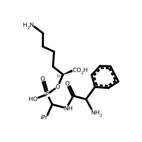 CC(C)C(NC(=O)C(N)c1ccccc1)P(=O)(O)O[C@@H](CCCCN)C(=O)O